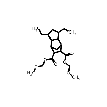 CCC1CC(CC)C2C3CC(C(C(=O)OCOC)C3C(=O)OCOC)C12